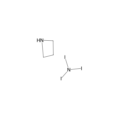 C1CNC1.IN(I)I